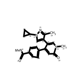 CNC(=O)c1ccc(-c2cc(=O)n(C)cc2-c2cn(C3CC3)nc2C)cc1